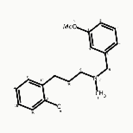 COc1cccc(CN(C)CCCc2ccccc2Cl)c1